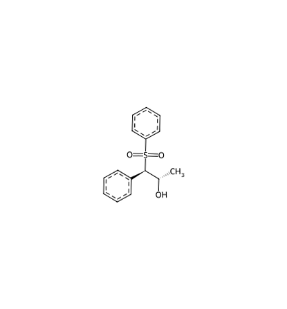 C[C@H](O)[C@@H](c1ccccc1)S(=O)(=O)c1ccccc1